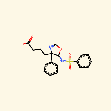 O=C(O)CCCC1(c2ccccc2)N=COC1NS(=O)(=O)c1ccccc1